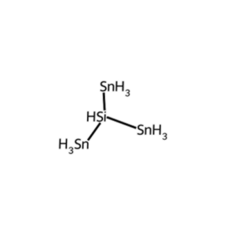 [SnH3][SiH]([SnH3])[SnH3]